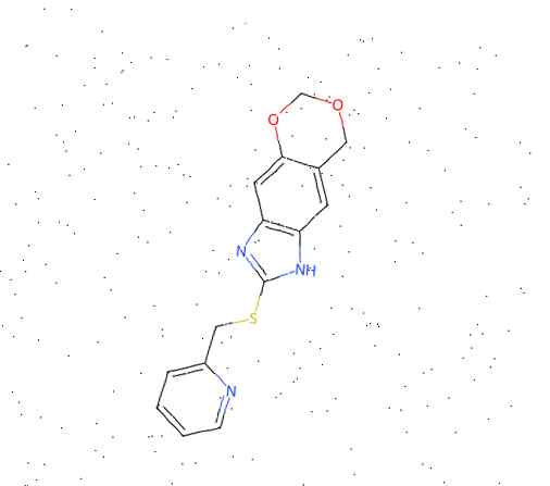 c1ccc(CSc2nc3cc4c(cc3[nH]2)COCO4)nc1